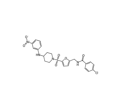 O=C(NCc1ccc(S(=O)(=O)N2CCC(Nc3cccc([N+](=O)[O-])c3)CC2)o1)c1ccc(Cl)cc1